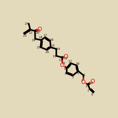 C=CC(=O)OCc1ccc(OC(=O)CCc2ccc(CC(=O)C(=C)C)cc2)cc1